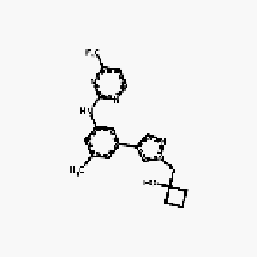 Cc1cc(Nc2nccc(C(F)(F)F)n2)cc(-c2cnn(CC3(O)CCC3)c2)c1